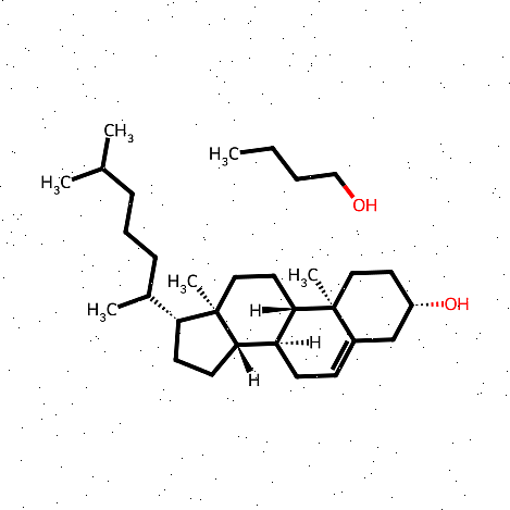 CC(C)CCCC(C)[C@H]1CC[C@H]2[C@@H]3CC=C4C[C@@H](O)CC[C@]4(C)[C@H]3CC[C@]12C.CCCCO